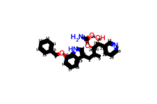 CC(Cc1c[nH]c2c(OCc3ccccc3)cccc12)[C@@H](OC(N)=O)[C@H](O)c1cccnc1